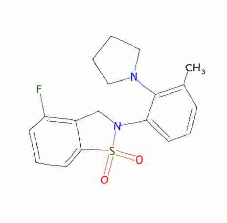 Cc1cccc(N2Cc3c(F)cccc3S2(=O)=O)c1N1CCCC1